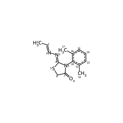 C/C=N/N=C1\SCC(=O)N1c1c(C)cccc1C